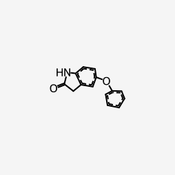 O=C1Cc2cc(Oc3ccccc3)ccc2N1